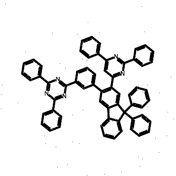 c1ccc(-c2cc(-c3cc4c(cc3-c3cccc(-c5nc(-c6ccccc6)nc(-c6ccccc6)n5)c3)-c3ccccc3C4(c3ccccc3)c3ccccc3)nc(-c3ccccc3)n2)cc1